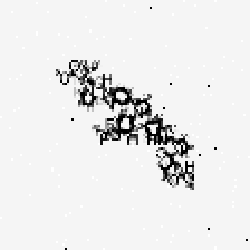 COC(=O)N[C@H](C(=O)N1CCC[C@H]1c1nc2cc([C@H]3CC[C@H](c4ccc5[nH]c([C@@H]6CCCN6C(=O)[C@@H](NC(=O)OC)C(C)C)nc5c4)N3c3ccc(OC(F)(F)F)c(Cl)c3)ccc2[nH]1)C(C)C